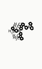 CC1(c2ccccc2)C=CC(N(c2ccc3c(c2)C(C)(C)c2ccccc2-3)c2ccc3c(c2)C(C)(C)c2cccc(-c4cccc(-n5c6ccccc6c6ccccc65)c4)c2-3)=CC1